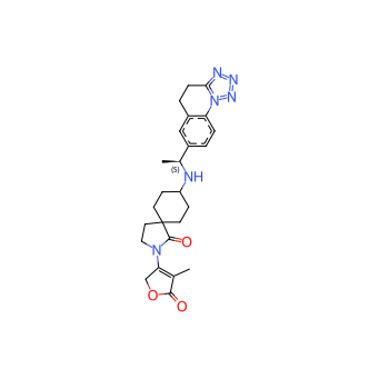 CC1=C(N2CCC3(CCC(N[C@@H](C)c4ccc5c(c4)CCc4nnnn4-5)CC3)C2=O)COC1=O